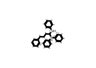 c1ccc(CCCC([SiH2]c2ccccc2)[SiH](c2ccccc2)c2ccccc2)cc1